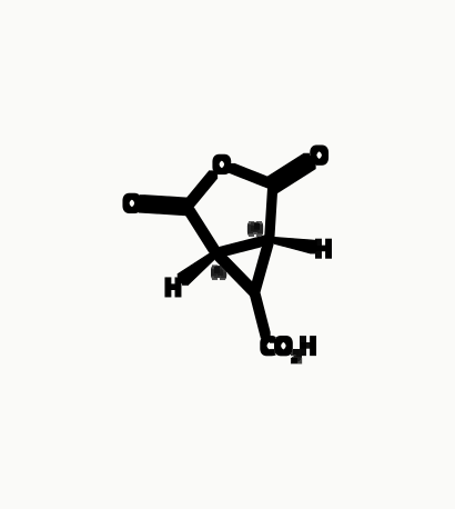 O=C(O)C1[C@H]2C(=O)OC(=O)[C@@H]12